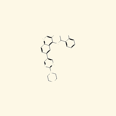 CC(Nc1c(Cl)cnc2ccc(-c3cnc(N4CCOCC4)nc3)cc12)c1ccccc1F